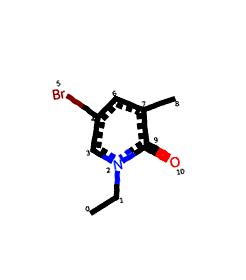 CCn1cc(Br)cc(C)c1=O